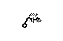 O=C(O)C[C@@H](CCCC1CCCCC1)c1nc(-c2cc[nH]n2)no1